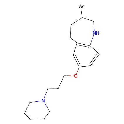 CC(=O)C1CCc2cc(OCCCN3CCCCC3)ccc2NC1